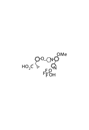 COc1ccc(-c2cccnc2)c(N2CCC(COc3cccc([C@@H](CC(=O)O)C4CC4)c3)CC2)c1.O=C(O)C(F)(F)F